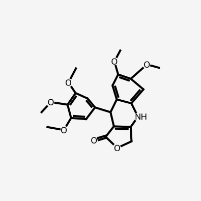 COc1cc2c(cc1OC)C(c1cc(OC)c(OC)c(OC)c1)C1=C(COC1=O)N2